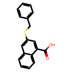 O=C(O)c1cc(SCc2ccccc2)cc2ccccc12